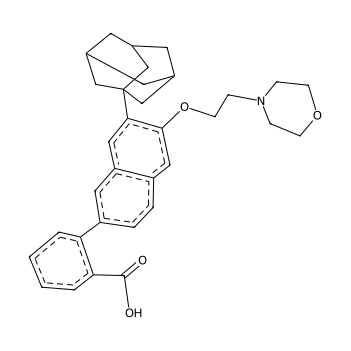 O=C(O)c1ccccc1-c1ccc2cc(OCCN3CCOCC3)c(C34CC5CC(CC(C5)C3)C4)cc2c1